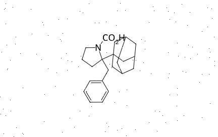 O=C(O)N1CCCC1(Cc1ccccc1)C12CC3CC(CC(C3)C1)C2